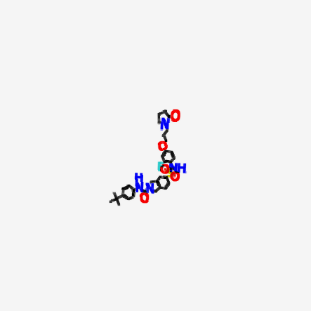 CC(C)(C)c1ccc(NC(=O)N2Cc3ccc(S(=O)(=O)Nc4ccc(OCCCN5CCCC5=O)cc4F)cc3C2)cc1